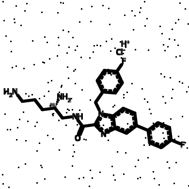 NCCC[C@H](N)CNC(=O)c1nc2cc(-c3ccc(F)cc3)ccc2n1Cc1ccc(F)cc1.[Cl-].[H+]